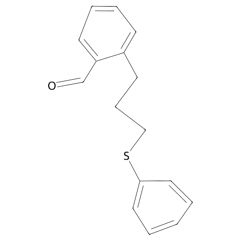 O=Cc1ccccc1CCCSc1ccccc1